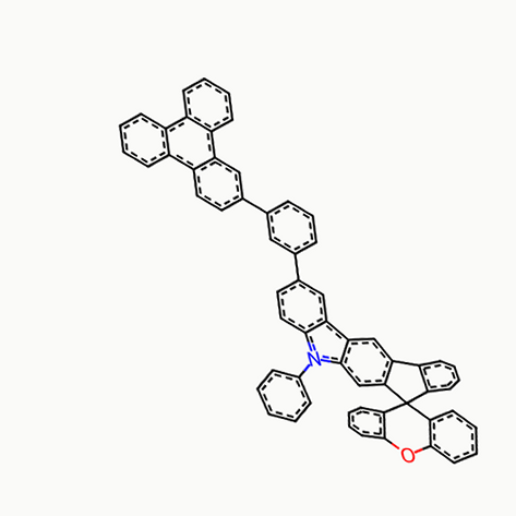 c1ccc(-n2c3ccc(-c4cccc(-c5ccc6c7ccccc7c7ccccc7c6c5)c4)cc3c3cc4c(cc32)C2(c3ccccc3Oc3ccccc32)c2ccccc2-4)cc1